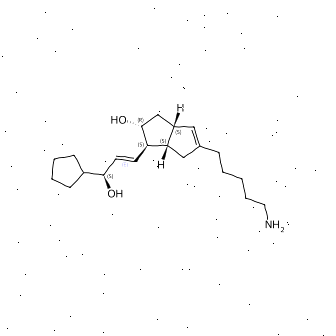 NCCCCCC1=C[C@H]2C[C@@H](O)[C@H](/C=C/[C@@H](O)C3CCCC3)[C@H]2C1